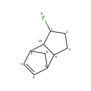 FC1CCC2C3C=CC(C3)C12